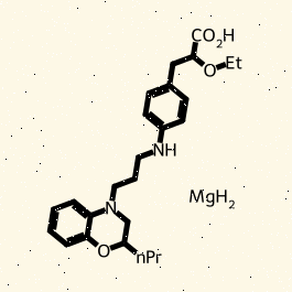 CCCC1CN(CCCNc2ccc(CC(OCC)C(=O)O)cc2)c2ccccc2O1.[MgH2]